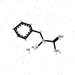 I.N=C(N)N(N)Cc1ccccc1